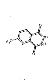 Cc1ccc2c(=O)[nH][nH]c(=O)c2n1